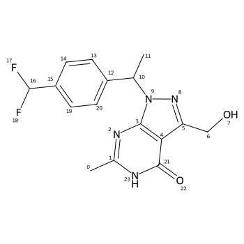 Cc1nc2c(c(CO)nn2C(C)c2ccc(C(F)F)cc2)c(=O)[nH]1